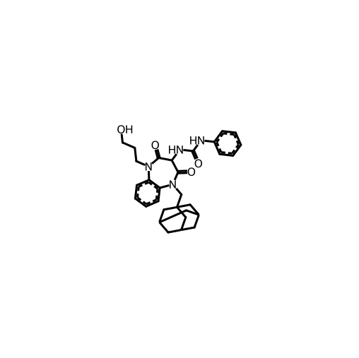 O=C(Nc1ccccc1)NC1C(=O)N(CCCO)c2ccccc2N(CC23CC4CC(CC(C4)C2)C3)C1=O